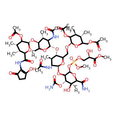 COC(=O)[C@H](O)COP(=O)(OC)O[C@H]1OC(C(N)=O)[C@@](C)(O)[C@H](OC(N)=O)C1O[C@@H]1OC(CO[C@@H]2OC(COC(C)=O)[C@@H](C)[C@H](C)C2OC(C)=O)[C@@H](O[C@@H]2OC(C)[C@@H](O[C@@H]3OC(C(=O)NC4=C(O)CCC4=O)[C@H](C)[C@H](C)C3OC(C)=O)[C@H](C)C2NC(C)=O)[C@H](C)C1NC(C)=O